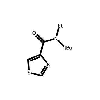 CCN(C(=O)c1cscn1)C(C)(C)C